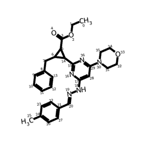 CCOC(=O)C1C(Cc2ccccc2)C1c1nc(NN=Cc2ccc(C)cc2)cc(N2CCOCC2)n1